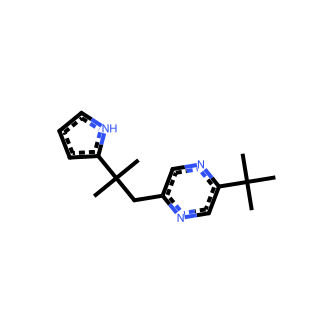 CC(C)(C)c1cnc(CC(C)(C)c2ccc[nH]2)cn1